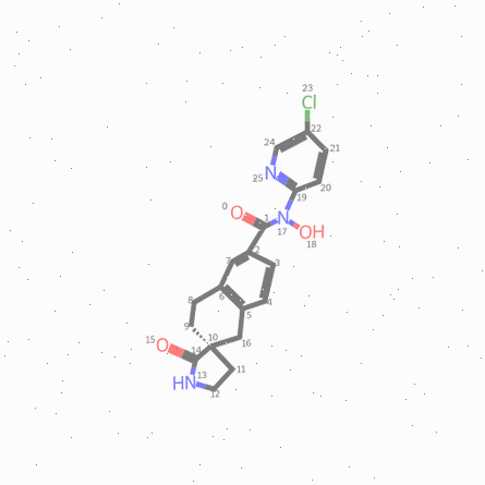 O=C(c1ccc2c(c1)CC[C@@]1(CCNC1=O)C2)N(O)c1ccc(Cl)cn1